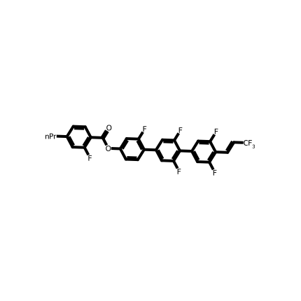 CCCc1ccc(C(=O)Oc2ccc(-c3cc(F)c(-c4cc(F)c(/C=C/C(F)(F)F)c(F)c4)c(F)c3)c(F)c2)c(F)c1